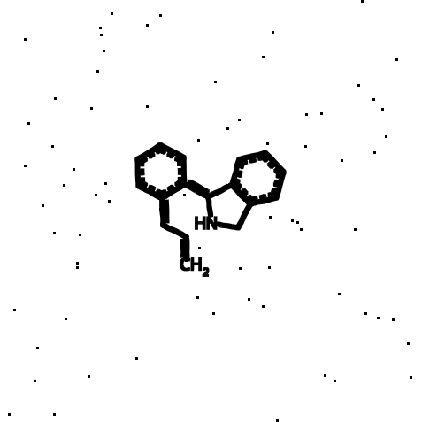 C=C/C=c1/cccc/c1=C1/NCc2ccccc21